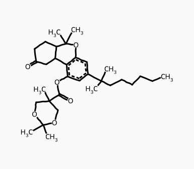 CCCCCCC(C)(C)c1cc(OC(=O)C2(C)COC(C)(C)OC2)c2c(c1)OC(C)(C)C1CCC(=O)CC21